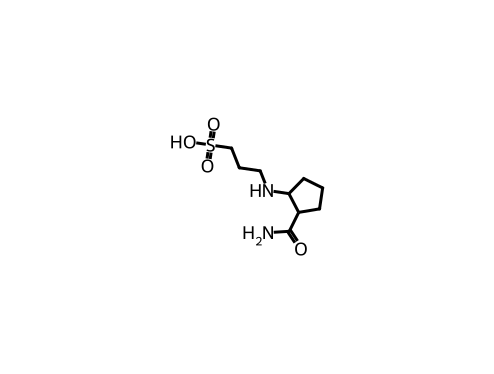 NC(=O)C1CCCC1NCCCS(=O)(=O)O